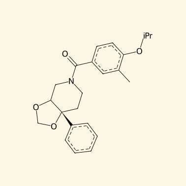 Cc1cc(C(=O)N2CC[C@]3(c4ccccc4)OCOC3C2)ccc1OC(C)C